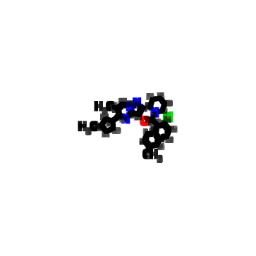 Cc1ccc2c(C(=O)N3CCCC[C@H]3c3cc4nc(C5CC[C@H](C)C5)c(C)cn4n3)c(Cl)ccc2c1